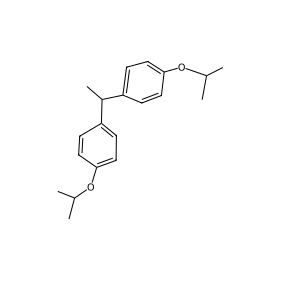 CC(C)Oc1ccc(C(C)c2ccc(OC(C)C)cc2)cc1